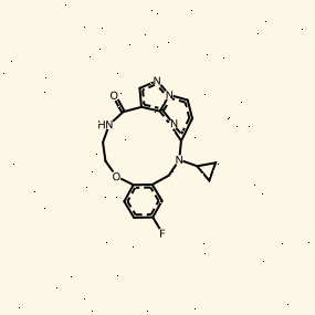 O=C1NCCOc2ccc(F)cc2CN(C2CC2)c2ccn3ncc1c3n2